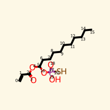 C=CC(=O)OC(CCCCCCCCCC)OP(=O)(O)S